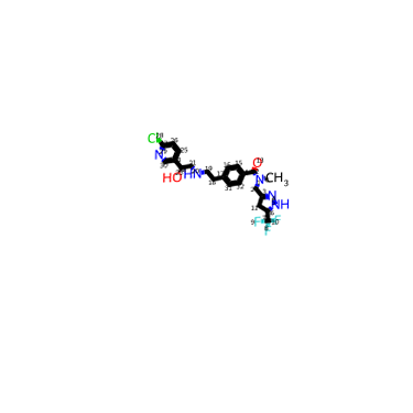 CN(CC1=NNC(C(F)(F)F)C1)C(=O)c1ccc(CCNC[C@H](O)c2ccc(Cl)nc2)cc1